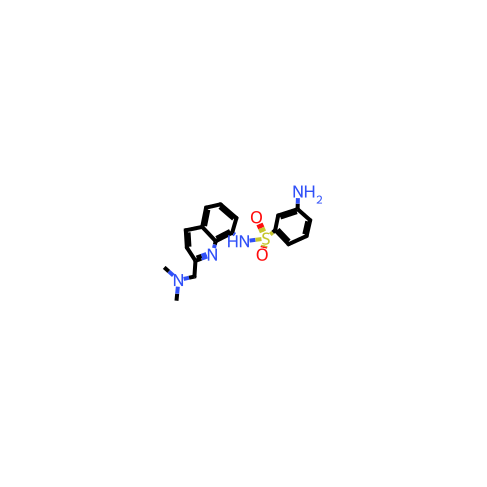 CN(C)Cc1ccc2cccc(NS(=O)(=O)c3cccc(N)c3)c2n1